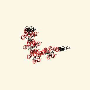 O=C([O-])CC(O)(CC(=O)[O-])C(=O)[O-].O=C([O-])CC(O)(CC(=O)[O-])C(=O)[O-].O=C([O-])CC(O)(CC(=O)[O-])C(=O)[O-].O=C([O-])CC(O)(CC(=O)[O-])C(=O)[O-].[O]=[Zr+2].[O]=[Zr+2].[O]=[Zr+2].[Sr+2].[Sr+2].[Sr+2]